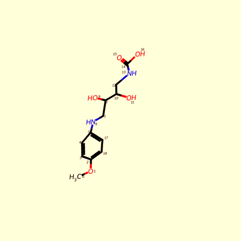 COc1ccc(NCC(O)C(O)CNC(=O)O)cc1